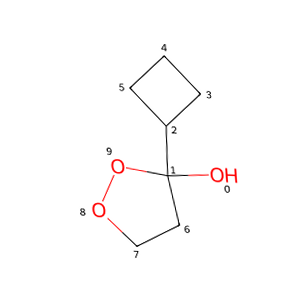 OC1(C2CCC2)CCOO1